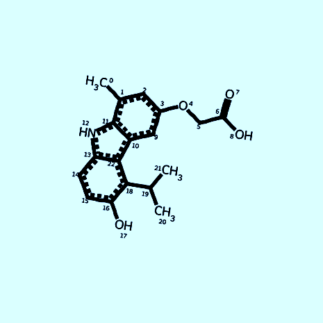 Cc1cc(OCC(=O)O)cc2c1[nH]c1ccc(O)c(C(C)C)c12